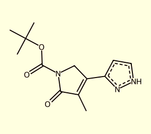 CC1=C(c2cc[nH]n2)CN(C(=O)OC(C)(C)C)C1=O